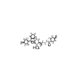 CN(CCCC(=O)c1ccc(F)cc1)C1CCC2(CC1)O[C@H](c1ccc(F)cc1)c1ccccc12.Cl